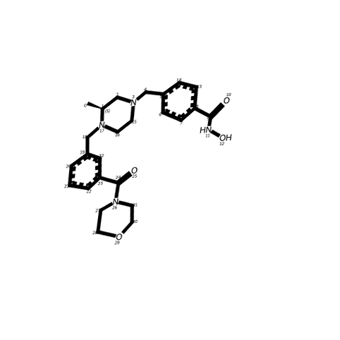 C[C@H]1CN(Cc2ccc(C(=O)NO)cc2)CCN1Cc1cccc(C(=O)N2CCOCC2)c1